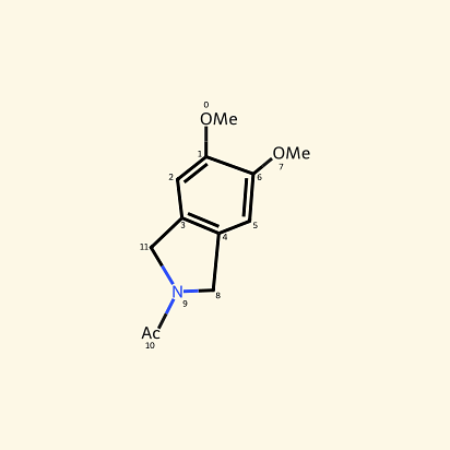 COc1cc2c(cc1OC)CN(C(C)=O)C2